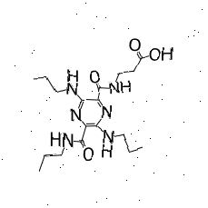 CCCNC(=O)c1nc(NCCC)c(C(=O)NCCC(=O)O)nc1NCCC